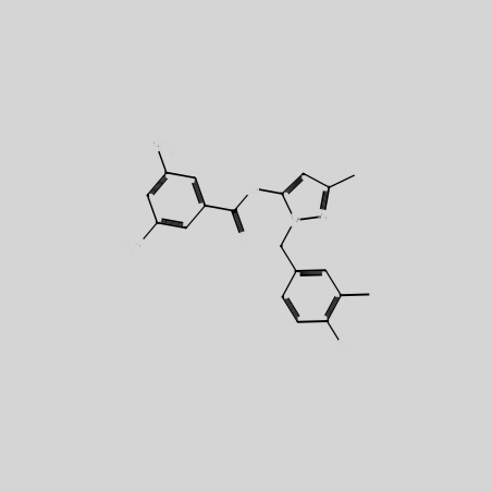 Cc1cc(OC(=O)c2cc([N+](=O)[O-])cc([N+](=O)[O-])c2)n(Cc2ccc(Cl)c(C)c2)n1